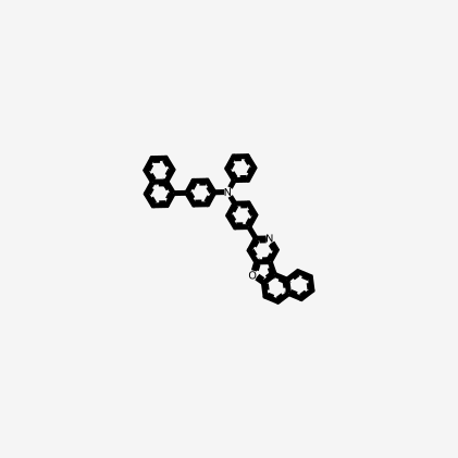 c1ccc(N(c2ccc(-c3cc4oc5ccc6ccccc6c5c4cn3)cc2)c2ccc(-c3cccc4ccccc34)cc2)cc1